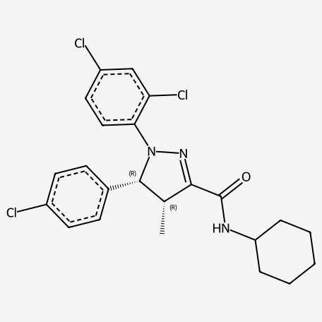 C[C@H]1C(C(=O)NC2CCCCC2)=NN(c2ccc(Cl)cc2Cl)[C@H]1c1ccc(Cl)cc1